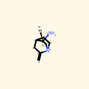 C=C1CC2CCN1C[C@H]2N